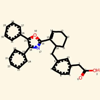 O=C(O)Cc1cccc(CC2CCCC=C2c2nc(-c3ccccc3)c(-c3ccccc3)o2)c1